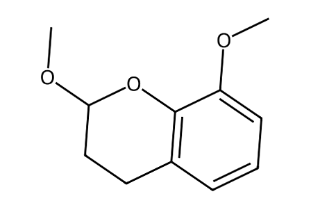 COc1cccc2c1OC(OC)CC2